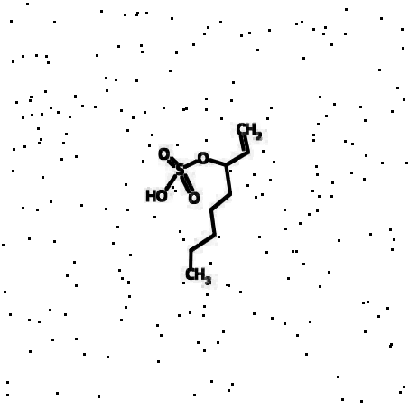 C=CC(CCCCC)OS(=O)(=O)O